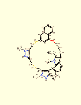 Cc1ccc2c3c(C(=O)O)n(C)c2c1-c1c(C)nn(C)c1CSCc1cc(n(C)n1)CSc1cc(c2ccccc2c1)OCCC3